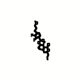 CCCc1cc2ccc(OC(=O)c3ccc(CCCOC)c(F)c3F)c(F)c2c(=O)o1